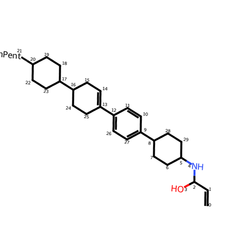 C=CC(O)NC1CCC(c2ccc(C3=CCC(C4CCC(CCCCC)CC4)CC3)cc2)CC1